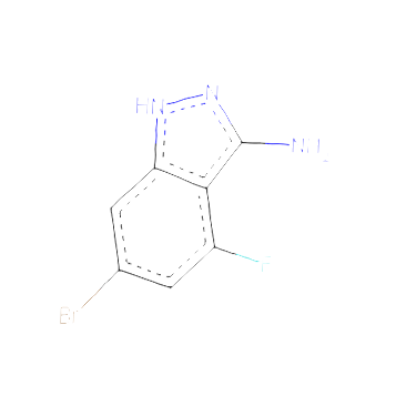 Nc1n[nH]c2cc(Br)cc(F)c12